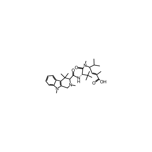 C/C(=C\C(C(C)C)N(C)C(=O)[C@@H](NC(=O)C1N(C)Cc2c(c3ccccc3n2C)C1(C)C)C(C)(C)C)C(=O)O